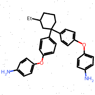 CCC1CCCC(c2ccc(Oc3ccc(N)cc3)cc2)(c2ccc(Oc3ccc(N)cc3)cc2)C1